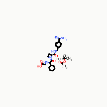 CC(=O)OC(C)(C)C.N=C(N)c1ccc(CNC(=O)[C@@H]2CCN2C(=O)[C@H](NCC(=O)O)C2CCCCC2)cc1